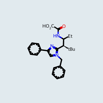 CCC(NC(=O)C(=O)O)[C@H](c1nc(-c2ccccc2)cn1Cc1ccccc1)C(C)(C)C